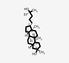 CC[C@@](C)(O)CCC[C@H]1CC[C@H]2[C@@H]3CC[C@H]4C[C@@](C)(O)CC[C@]4(C)[C@H]3CC[C@]12C